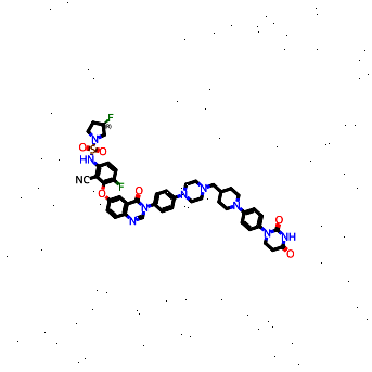 N#Cc1c(NS(=O)(=O)N2CC[C@@H](F)C2)ccc(F)c1Oc1ccc2ncn(-c3ccc(N4CCN(CC5CCN(c6ccc(N7CCC(=O)NC7=O)cc6)CC5)CC4)cc3)c(=O)c2c1